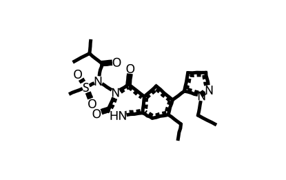 CCc1cc2[nH]c(=O)n(N(C(=O)C(C)C)S(C)(=O)=O)c(=O)c2cc1-c1ccnn1CC